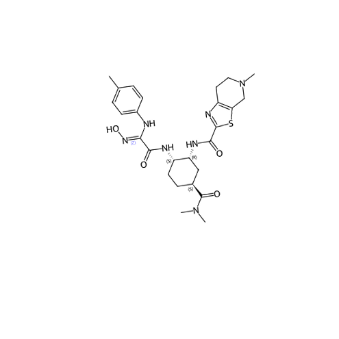 Cc1ccc(N/C(=N\O)C(=O)N[C@H]2CC[C@H](C(=O)N(C)C)C[C@H]2NC(=O)c2nc3c(s2)CN(C)CC3)cc1